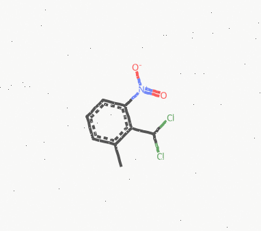 Cc1cccc([N+](=O)[O-])c1C(Cl)Cl